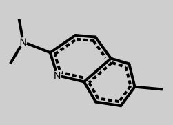 Cc1ccc2nc(N(C)C)ccc2c1